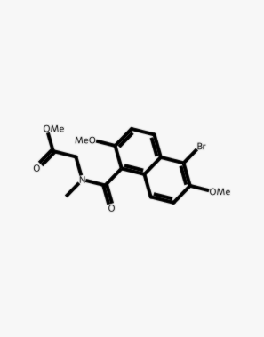 COC(=O)CN(C)C(=O)c1c(OC)ccc2c(Br)c(OC)ccc12